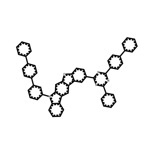 c1ccc(-c2ccc(-c3cccc(-n4c5ccccc5c5cc6c(cc54)oc4ccc(-c5nc(-c7ccccc7)nc(-c7ccc(-c8ccccc8)cc7)n5)cc46)c3)cc2)cc1